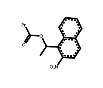 CC(C)C(=O)OC(C)c1c([N+](=O)[O-])ccc2ccccc12